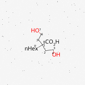 CCCCCCC(CCO)(CCO)C(=O)O